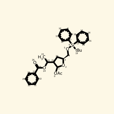 CC(=O)OC1O[C@H](CO[Si](c2ccccc2)(c2ccccc2)C(C)(C)C)CC1C(C)OC(=O)c1ccccc1